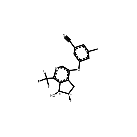 N#Cc1cc(F)cc(Oc2cnc(C(F)(F)F)c3c2C[C@@H](F)[C@H]3O)c1